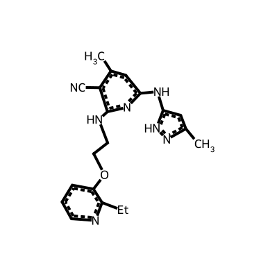 CCc1ncccc1OCCNc1nc(Nc2cc(C)n[nH]2)cc(C)c1C#N